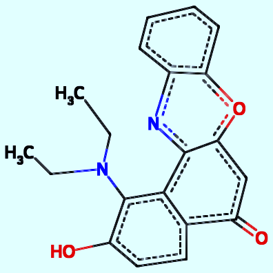 CCN(CC)c1c(O)ccc2c(=O)cc3oc4ccccc4nc-3c12